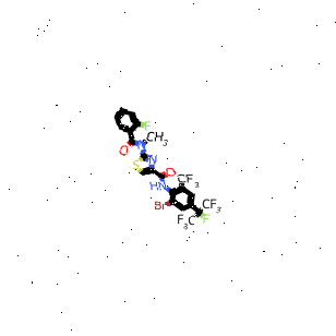 CN(C(=O)c1ccccc1F)c1nc(C(=O)Nc2c(Br)cc(C(F)(C(F)(F)F)C(F)(F)F)cc2C(F)(F)F)cs1